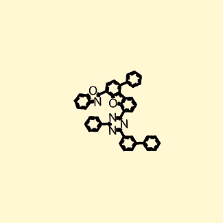 c1ccc(-c2cccc(-c3nc(-c4ccccc4)nc(-c4cccc5c4oc4c(-c6nc7ccccc7o6)ccc(-c6ccccc6)c45)n3)c2)cc1